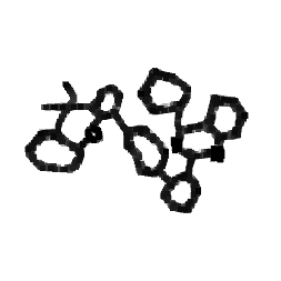 CC1(C)c2ccccc2Oc2c(-c3ccc(-c4ccccc4-c4nc(-c5ccccc5)c5ccccc5n4)cc3)cccc21